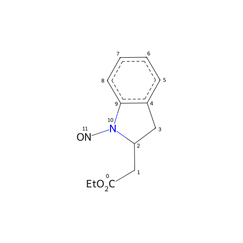 CCOC(=O)CC1Cc2ccccc2N1N=O